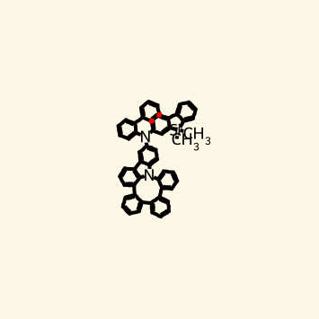 C[Si]1(C)c2ccccc2-c2ccc(N(c3ccc4c(c3)c3cccc5c6ccccc6c6ccccc6c6ccccc6n4c53)c3ccccc3-c3ccccc3)cc21